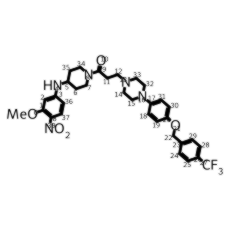 COc1cc(NC2CCN(C(=O)CCN3CCN(c4ccc(OCc5ccc(C(F)(F)F)cc5)cc4)CC3)CC2)ccc1[N+](=O)[O-]